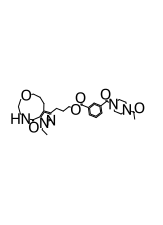 CCn1nc(CCCOC(=O)c2cccc(C(=O)N3CCN(C(C)=O)CC3)c2)c2c1C(=O)NCCCOCCC2